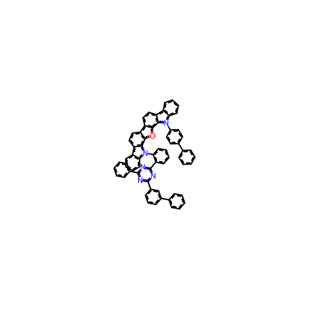 c1ccc(-c2ccc(-n3c4ccccc4c4ccc5c6ccc7c8ccccc8n(-c8ccccc8-c8nc(-c9ccccc9)nc(-c9cccc(-c%10ccccc%10)c9)n8)c7c6oc5c43)cc2)cc1